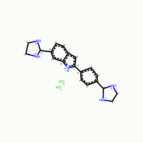 Cl.Cl.c1cc(C2NCCN2)ccc1-c1cc2ccc(C3NCCN3)cc2[nH]1